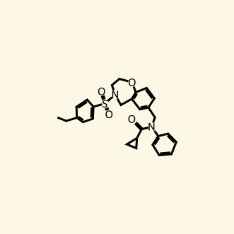 CCc1ccc(S(=O)(=O)N2CCOc3ccc(CN(C(=O)C4CC4)c4ccccc4)cc3C2)cc1